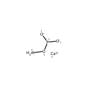 [Ca+2].[O-]P([O-])[O][AlH2]